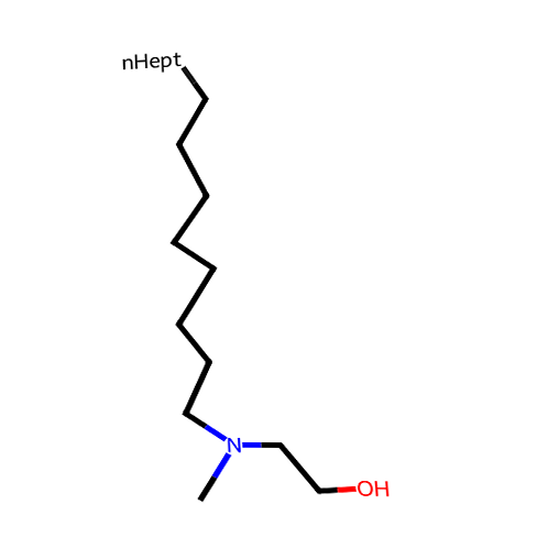 CCCCCCCCCCCCCCCN(C)CCO